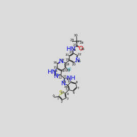 Cc1ccc(-c2cccc3[nH]c(-c4n[nH]c5cnc(-c6cncc(NC(=O)C(C)(C)C)c6)c(F)c45)nc23)s1